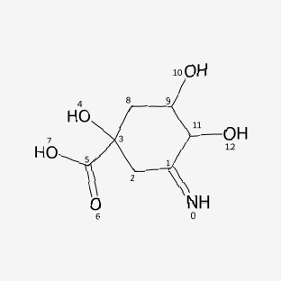 N=C1CC(O)(C(=O)O)CC(O)C1O